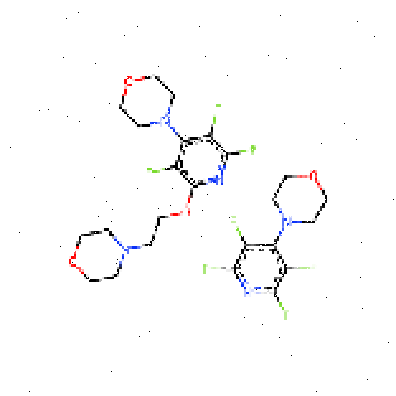 Fc1nc(F)c(F)c(N2CCOCC2)c1F.Fc1nc(OCCN2CCOCC2)c(F)c(N2CCOCC2)c1F